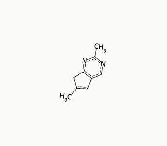 CC1=Cc2cnc(C)nc2C1